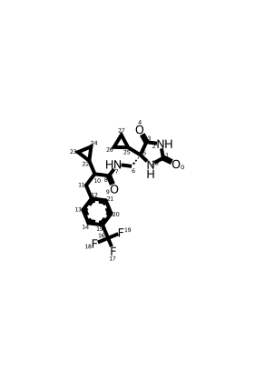 O=C1NC(=O)[C@](CNC(=O)C(Cc2ccc(C(F)(F)F)cc2)C2CC2)(C2CC2)N1